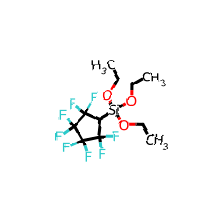 CCO[Si](OCC)(OCC)C1C(F)(F)C(F)(F)C(F)(F)C1(F)F